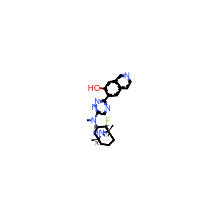 CN(c1cnc(-c2cc3ccncc3cc2O)nn1)[C@@H]1C[C@@]2(C)CCC[C@](C)(N2)[C@H]1F